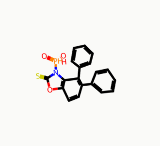 O=[PH](O)n1c(=S)oc2ccc(-c3ccccc3)c(-c3ccccc3)c21